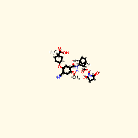 COc1cc(C#N)c(OC2CCC(C)(C(=O)O)CC2)cc1C(=O)N[C@@H]1[C@H]2CC[C@H](C2)[C@@H]1C(=O)ON1C(=O)CCC1=O